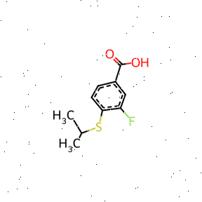 CC(C)Sc1ccc(C(=O)O)cc1F